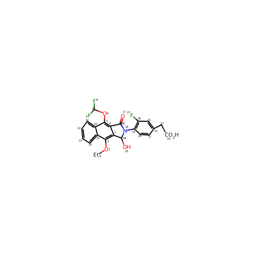 CCOc1c2c(c(OC(F)F)c3ccccc13)C(=O)N(c1ccc(CC(=O)O)cc1F)C2O